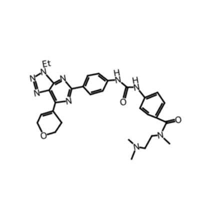 CCn1nnc2c(C3=CCOCC3)nc(-c3ccc(NC(=O)Nc4ccc(C(=O)N(C)CCN(C)C)cc4)cc3)nc21